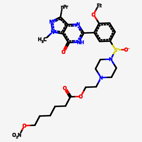 CCCc1nn(C)c2c(=O)[nH]c(-c3cc([S+]([O-])N4CCN(CCOC(=O)CCCCCO[N+](=O)[O-])CC4)ccc3OCC)nc12